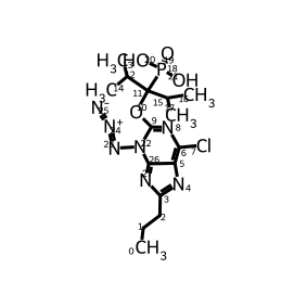 CCCc1nc2c(Cl)nc(OC(C(C)C)(C(C)C)P(=O)(O)O)n(N=[N+]=[N-])c-2n1